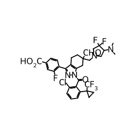 CN(C)C1CN(CC2(C=O)CCc3c(-c4ccc(C(=O)O)cc4F)nn(C(=O)c4c(Cl)cccc4C4(C(F)(F)F)CC4)c3C2)CC1(F)F